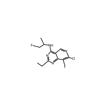 CCc1nc(NC(C)CF)c2cnc(Cl)c(F)c2n1